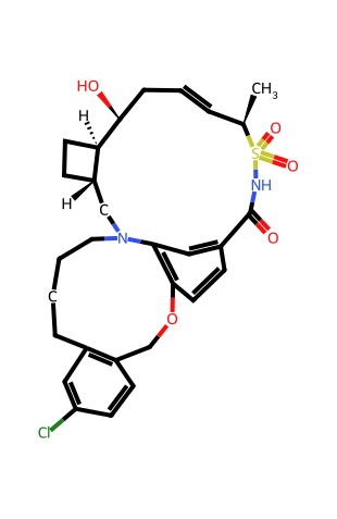 C[C@@H]1/C=C/C[C@H](O)[C@@H]2CC[C@H]2CN2CCCCc3cc(Cl)ccc3COc3ccc(cc32)C(=O)NS1(=O)=O